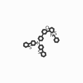 c1ccc(-c2nc3c(ccc4oc5ccc(-c6ccc(N(c7ccc8c(c7)sc7ccccc78)c7ccc8c(c7)sc7ccccc78)cc6)cc5c43)s2)cc1